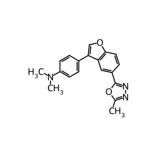 Cc1nnc(-c2ccc3occ(-c4ccc(N(C)C)cc4)c3c2)o1